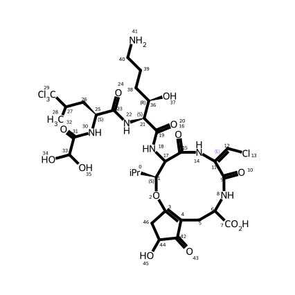 CC(C)[C@@H]1OC2=C(CC(C(=O)O)NC(=O)/C(=C\Cl)NC(=O)C1NC(=O)[C@@H](NC(=O)[C@H](CC(C)C(Cl)(Cl)Cl)NC(=O)C(O)O)[C@H](O)CCCN)C(=O)C(O)C2